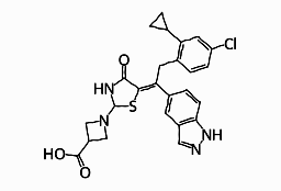 O=C1NC(N2CC(C(=O)O)C2)SC1=C(Cc1ccc(Cl)cc1C1CC1)c1ccc2[nH]ncc2c1